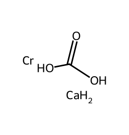 O=C(O)O.[CaH2].[Cr]